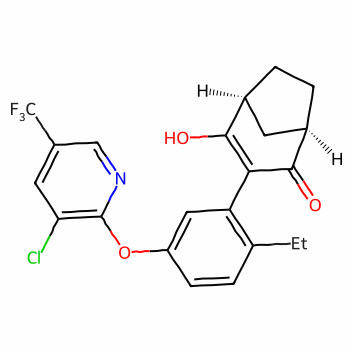 CCc1ccc(Oc2ncc(C(F)(F)F)cc2Cl)cc1C1=C(O)[C@H]2CC[C@H](C2)C1=O